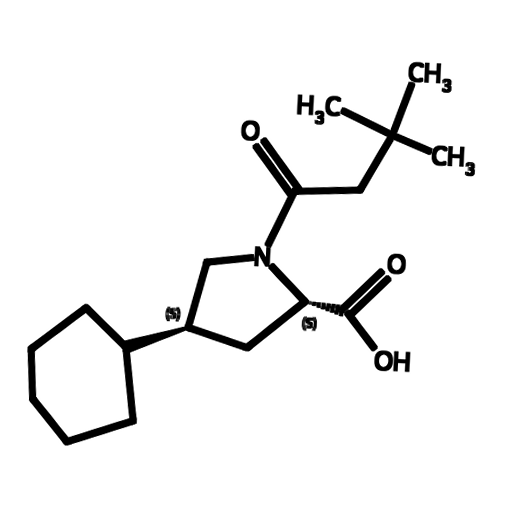 CC(C)(C)CC(=O)N1C[C@H](C2CCCCC2)C[C@H]1C(=O)O